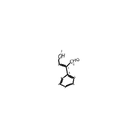 O=C/C(=C\O)c1ccccc1